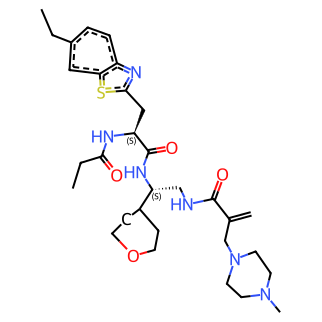 C=C(CN1CCN(C)CC1)C(=O)NC[C@@H](NC(=O)[C@H](Cc1nc2ccc(CC)cc2s1)NC(=O)CC)C1CCOCC1